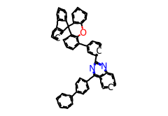 c1ccc(-c2ccc(-c3nc(-c4cccc(-c5cccc6c5Oc5ccccc5C65c6ccccc6-c6ccccc65)c4)nc4ccccc34)cc2)cc1